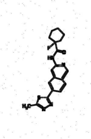 Cc1nnc(-c2ccc3cnc(NC(=O)C4(F)CCCCC4)cc3c2)s1